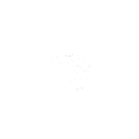 CCCNc1nc(-n2cc(Cc3ccccc3)nn2)nc2c1ncn2C1O[C@H](C(=O)NC)[C@@H](O)[C@H]1O